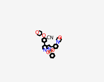 N#Cc1cc(-c2ccnc3c2cc(-c2cccc(N4CCOCC4)c2)n3S(=O)(=O)c2ccccc2)ccc1OC1CCOCC1